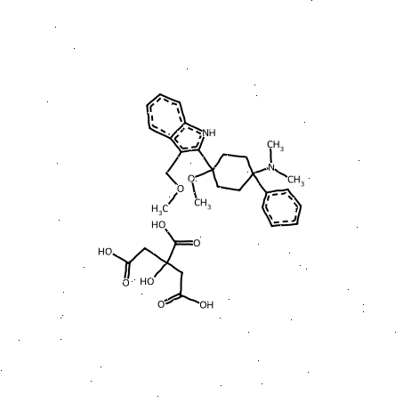 COCc1c(C2(OC)CCC(c3ccccc3)(N(C)C)CC2)[nH]c2ccccc12.O=C(O)CC(O)(CC(=O)O)C(=O)O